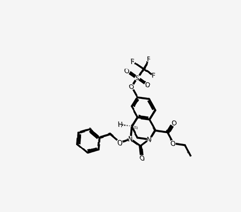 CCOC(=O)C1c2ccc(OS(=O)(=O)C(F)(F)F)cc2[C@H]2CN1C(=O)N2OCc1ccccc1